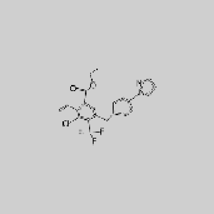 C=Cc1c(C(=O)OCC)cc(Cc2ccc(-n3cccn3)cc2)c(C(F)(F)F)c1Cl